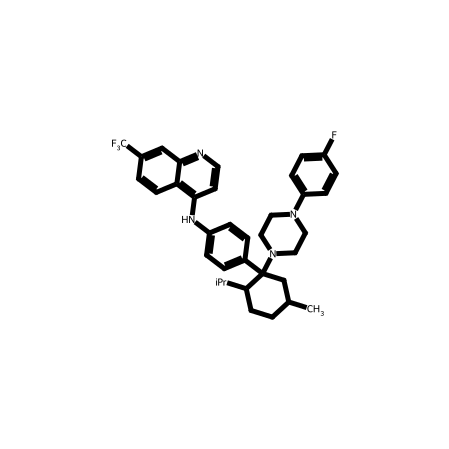 CC1CCC(C(C)C)C(c2ccc(Nc3ccnc4cc(C(F)(F)F)ccc34)cc2)(N2CCN(c3ccc(F)cc3)CC2)C1